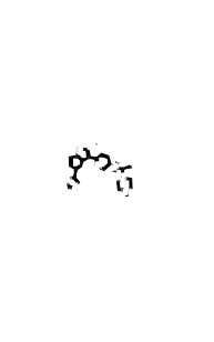 C=CC(N1CCN(C)CC1)S(=O)(=O)c1ccc(-c2c(O)[nH]c3ccc(-c4cnco4)cc23)nc1